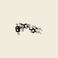 COc1c(C)cnc(CNc2ncc(C#N)c(NC[C@]34CC5C[C@H](C3)[C@@H](N)[C@@H](C5)C4)n2)c1C